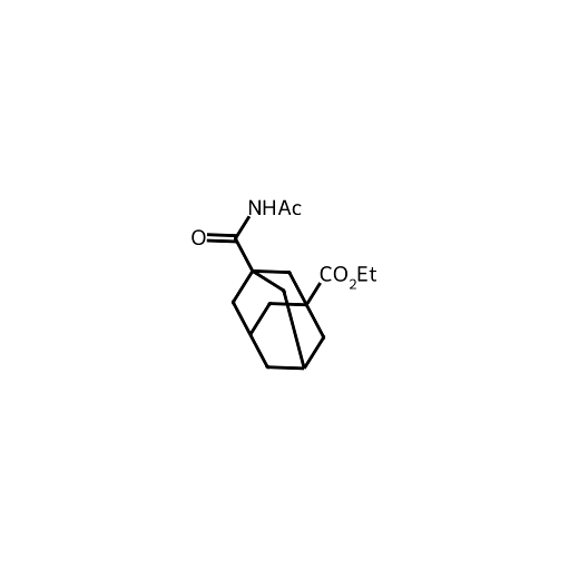 CCOC(=O)C12CC3CC(CC(C(=O)NC(C)=O)(C3)C1)C2